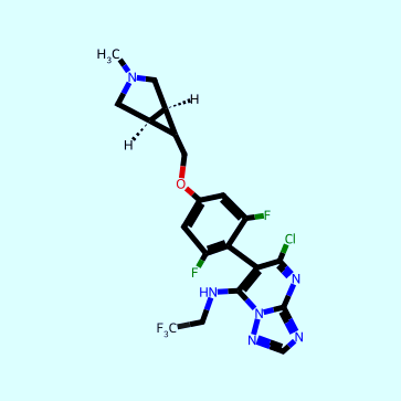 CN1C[C@@H]2C(COc3cc(F)c(-c4c(Cl)nc5ncnn5c4NCC(F)(F)F)c(F)c3)[C@@H]2C1